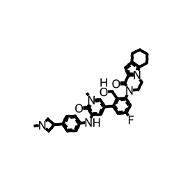 CN1CC(c2ccc(Nc3cc(-c4cc(F)cc(N5CCn6c(cc7c6CCCC7)C5=O)c4CO)cn(C)c3=O)cc2)C1